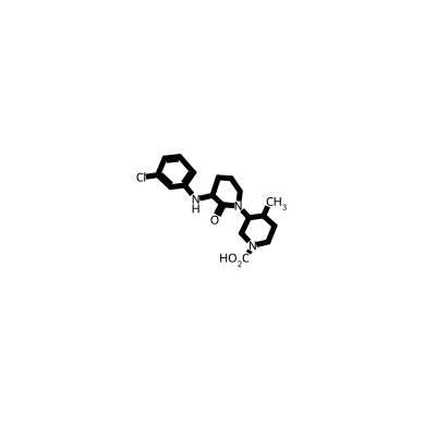 CC1CCN(C(=O)O)CC1N1CCCC(Nc2cccc(Cl)c2)C1=O